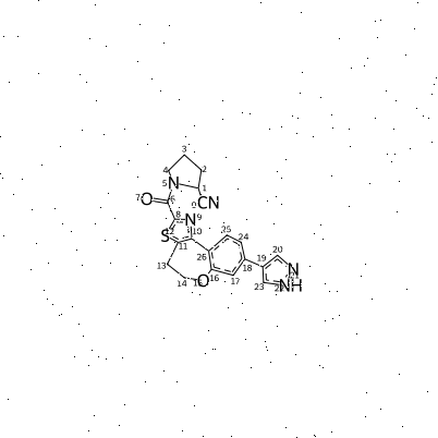 N#CC1CCCN1C(=O)c1nc2c(s1)CCOc1cc(-c3cn[nH]c3)ccc1-2